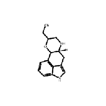 N#CCC1CN[C@@H]2Cc3c[nH]c4cccc(c34)C2O1